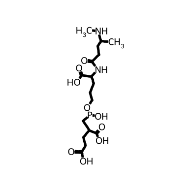 CNC(C)CCC(=O)NC(CCCOP(O)CC(CCC(=O)O)C(=O)O)C(=O)O